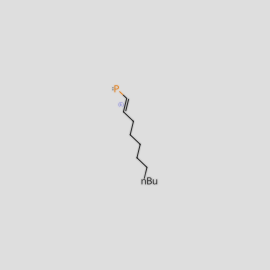 CCCCCCCCC/C=C/[P]